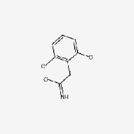 N=C(Cl)Cc1c(Cl)cccc1Cl